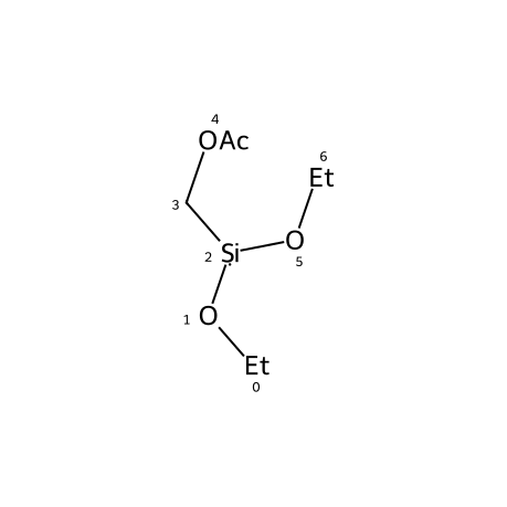 CCO[Si](COC(C)=O)OCC